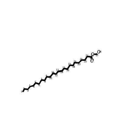 CCCCCCCCCCCCCCCCCCCCCCCCC(=O)OC=O